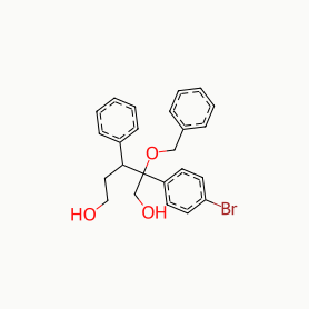 OCCC(c1ccccc1)C(CO)(OCc1ccccc1)c1ccc(Br)cc1